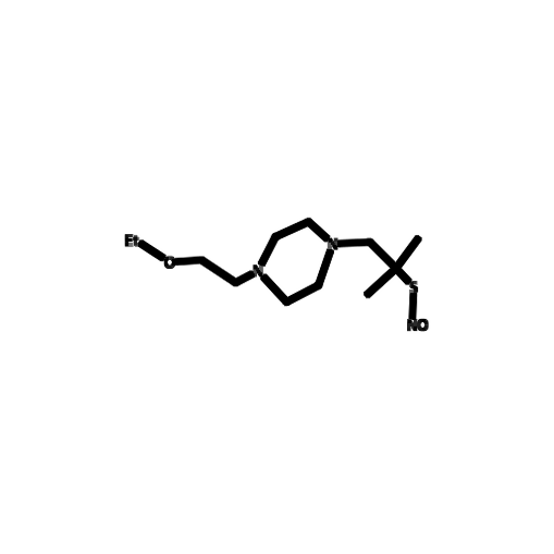 [CH2]COCCN1CCN(CC(C)(C)SN=O)CC1